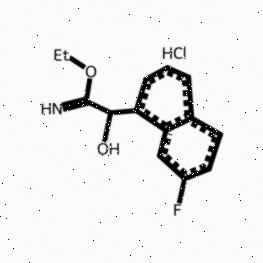 CCOC(=N)C(O)c1cccc2ccc(F)cc12.Cl